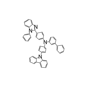 c1ccc(-c2cccc(N(c3ccc(-c4nc5ccccc5n4-c4ccccc4)cc3)c3ccc(-n4c5ccccc5c5ccccc54)cc3)c2)cc1